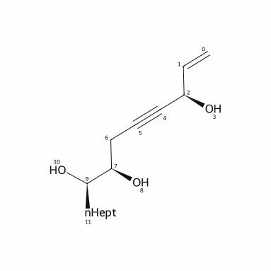 C=C[C@@H](O)C#CC[C@@H](O)[C@H](O)CCCCCCC